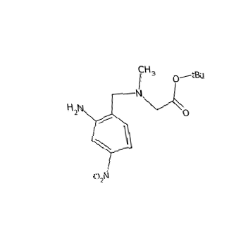 CN(CC(=O)OC(C)(C)C)Cc1ccc([N+](=O)[O-])cc1N